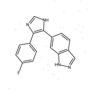 Fc1ccc(-c2nc[nH]c2-c2ccc3cn[nH]c3c2)cc1